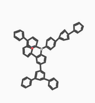 c1ccc(-c2ccc(-c3ccc(N(c4ccc(-c5ccccc5)cc4)c4ccc(-c5cc(-c6ccccc6)cc(-c6ccccc6)c5)cc4-c4ccccc4)cc3)cc2)cc1